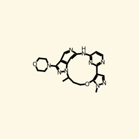 CC1CCOc2c(cnn2C)-c2nccc(n2)Nc2cc3c(cn2)c(N2CCOCC2)nn31